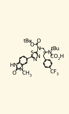 Cn1c(=O)[nH]c2ccc(-c3nnc(N(C[C@H](Cc4ccc(C(F)(F)F)cc4)N(C(=O)O)C(C)(C)C)C(=O)OC(C)(C)C)s3)cc21